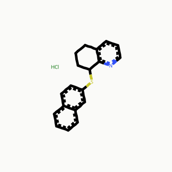 Cl.c1cnc2c(c1)CCCC2Sc1ccc2ccccc2c1